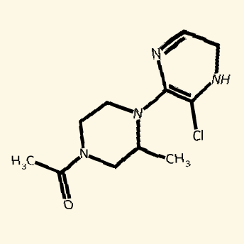 CC(=O)N1CCN(C2=C(Cl)NCC=N2)C(C)C1